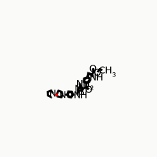 CCOC(=O)c1cc2ccc(C(=O)c3sc(Nc4ccc(N5CCC(N6CCCC6)CC5)cc4)nc3N)cc2[nH]1